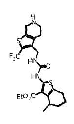 CCOC(=O)c1c(NC(=O)NCc2c(C(F)(F)F)sc3c2CCNC3)sc2c1C(C)CCC2